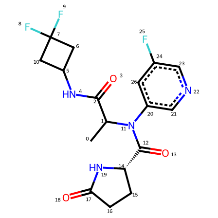 CC(C(=O)NC1CC(F)(F)C1)N(C(=O)[C@@H]1CCC(=O)N1)c1cncc(F)c1